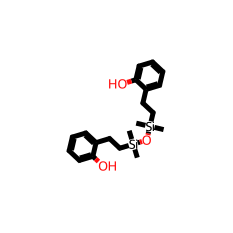 C[Si](C)(CCc1ccccc1O)O[Si](C)(C)CCc1ccccc1O